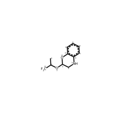 CC(OC1CNc2ccccc2O1)C(F)(F)F